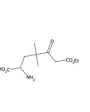 CCOC(=O)CC(=O)C(C)(C)CC(N)C(=O)O